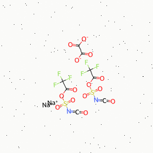 O=C([O-])C(=O)[O-].O=C=NS(=O)(=O)OC(=O)C(F)(F)F.O=C=NS(=O)(=O)OC(=O)C(F)(F)F.[Na+].[Na+]